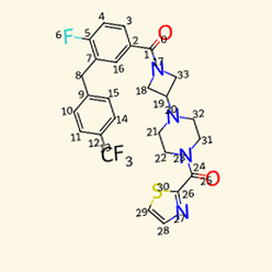 O=C(c1ccc(F)c(Cc2ccc(C(F)(F)F)cc2)c1)N1CC(N2CCN(C(=O)c3nccs3)CC2)C1